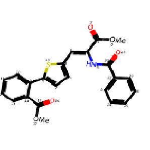 COC(=O)C(=Cc1ccc(-c2ccccc2C(=O)OC)s1)NC(=O)c1ccccc1